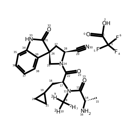 O=C(O)C(F)(F)F.[2H]C([2H])([2H])N(C(=O)[C@H](C)N)[C@@H](CC1CC1)C(=O)N1C[C@]2(C[C@H]1C#N)C(=O)Nc1ccccc12